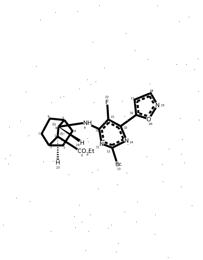 CCOC(=O)[C@H]1C2CCC(CC2)[C@@H]1Nc1nc(Br)nc(-c2ccno2)c1F